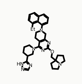 CCc1cccc2cccc(N3CCc4c(nc(OCC56CCCN5CCC6)nc4N4CCCC(c5ncn[nH]5)C4)C3)c12